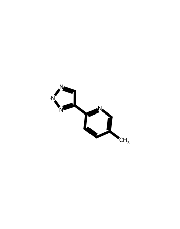 Cc1ccc(C2=N[N]N=C2)nc1